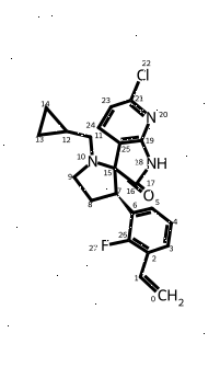 C=Cc1cccc([C@H]2CCN(CC3CC3)C23C(=O)Nc2nc(Cl)ccc23)c1F